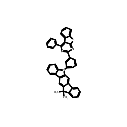 CC1(C)c2ccccc2-c2cc3c(cc21)c1ccccc1n3-c1cccc(-c2nc(-c3ccccc3)c3c(n2)sc2ccccc23)c1